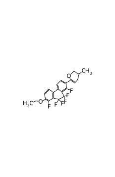 CCOc1ccc2c(c1F)C(F)(F)C(F)(F)c1c-2ccc(C2=CCC(C)CO2)c1F